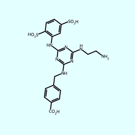 NCCNc1nc(NCc2ccc(C(=O)O)cc2)nc(Nc2cc(S(=O)(=O)O)ccc2S(=O)(=O)O)n1